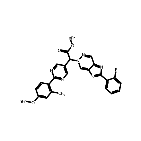 CCCOC(=O)C(c1cnc(-c2ccc(OCCC)cc2C(F)(F)F)nc1)n1cc2nc(-c3ccccc3F)nc-2cn1